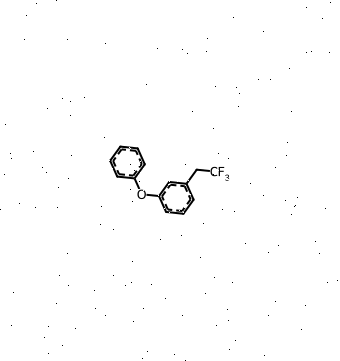 FC(F)(F)Cc1cccc(Oc2ccccc2)c1